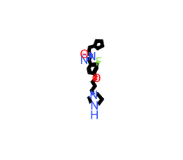 Fc1cc(OCCCN2CCCNCC2)ccc1-c1noc(CC2CCCC2)n1